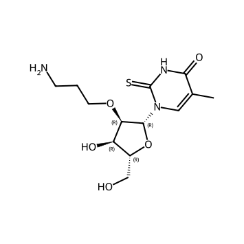 Cc1cn([C@@H]2O[C@H](CO)[C@@H](O)[C@H]2OCCCN)c(=S)[nH]c1=O